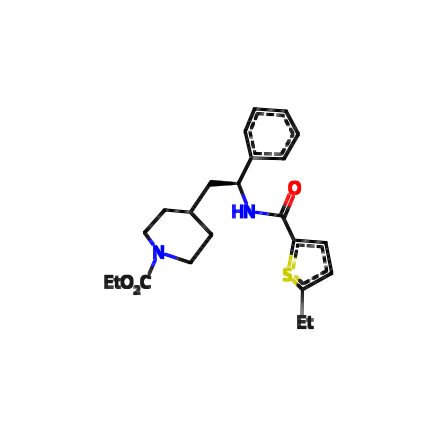 CCOC(=O)N1CCC(C[C@H](NC(=O)c2ccc(CC)s2)c2ccccc2)CC1